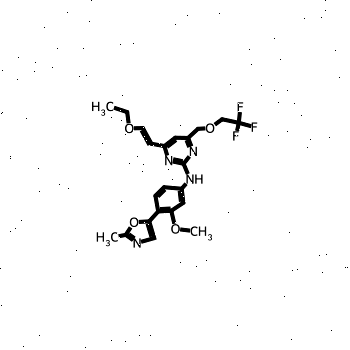 CCOC=Cc1cc(COCC(F)(F)F)nc(Nc2ccc(-c3cnc(C)o3)c(OC)c2)n1